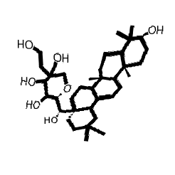 CC1(C)CC[C@]2([C@H](O)[C@H]3OCC(O)(CCO)C(O)C3O)CCC3C(=CCC4[C@@]3(C)CCC3C(C)(C)[C@@H](O)CC[C@@]34C)C2C1